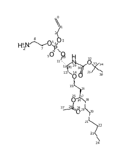 C=CCOP(=O)(OCCN)OC[C@@H](COCC[C@@H](CCCCCCC)OC(C)=O)NC(=O)OC(C)(C)C